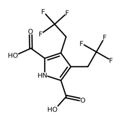 O=C(O)c1[nH]c(C(=O)O)c(CC(F)(F)F)c1CC(F)(F)F